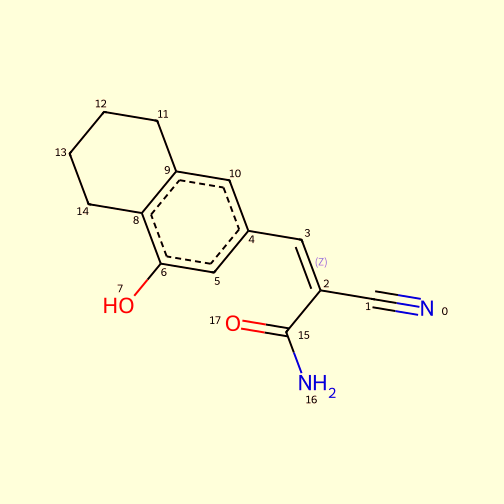 N#C/C(=C/c1cc(O)c2c(c1)CCCC2)C(N)=O